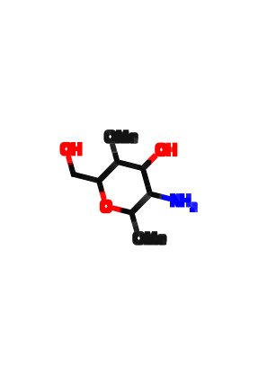 COC1OC(CO)C(OC)C(O)C1N